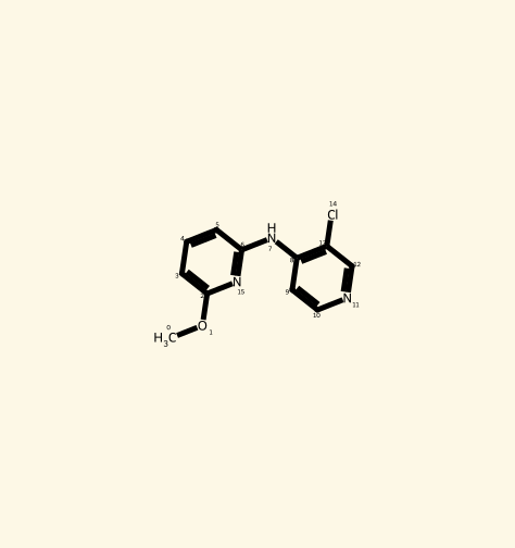 COc1cccc(Nc2ccncc2Cl)n1